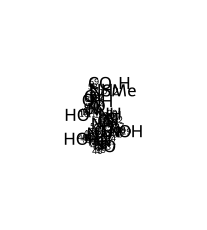 CSCC[C@H](NC(=O)[C@@H]1C[C@@H](O)CN1C(=O)CNC(=O)[C@@H]1CCCN1C(=O)[C@@H]1C[C@@H](O)CN1C(=O)CNC(=O)[C@@H]1CCCN1C(=O)[C@@H]1C[C@@H](O)CN1C(=O)CN)C(=O)NCC(=O)O